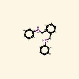 c1ccc(PCc2ccccc2CPc2ccccc2)cc1